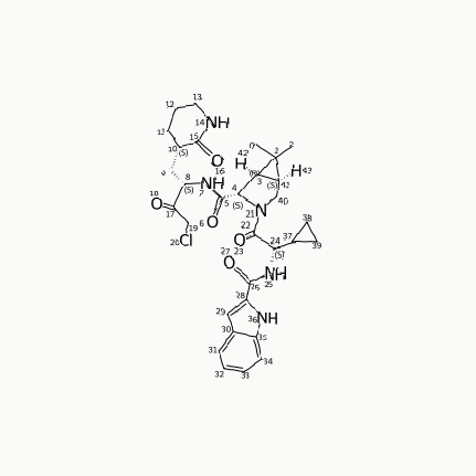 CC1(C)[C@@H]2[C@@H](C(=O)N[C@@H](C[C@@H]3CCCNC3=O)C(=O)CCl)N(C(=O)[C@@H](NC(=O)c3cc4ccccc4[nH]3)C3CC3)C[C@@H]21